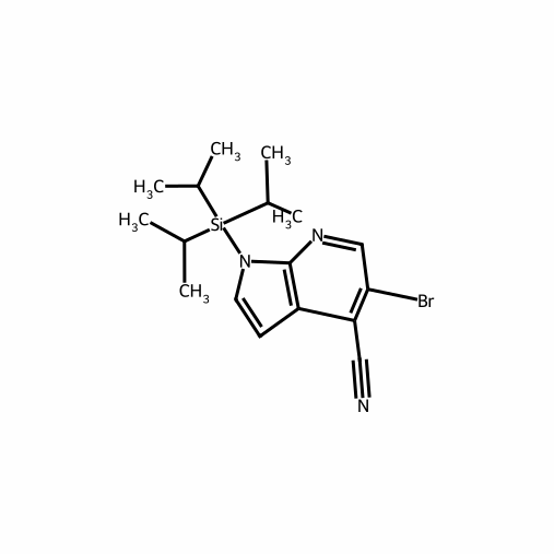 CC(C)[Si](C(C)C)(C(C)C)n1ccc2c(C#N)c(Br)cnc21